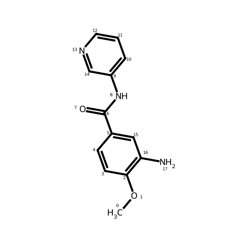 COc1ccc(C(=O)Nc2cccnc2)cc1N